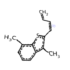 C=C/C=C\c1sc2c(C)cccc2c1C